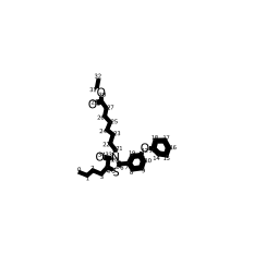 CCCCC1SC(c2cccc(Oc3ccccc3)c2)N(CCCCCCCC(=O)OCC)C1=O